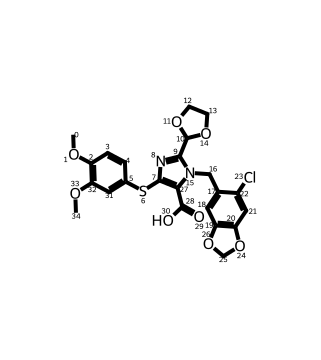 COc1ccc(Sc2nc(C3OCCO3)n(Cc3cc4c(cc3Cl)OCO4)c2C(=O)O)cc1OC